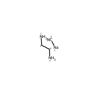 N#[C][Na].NCCN